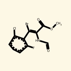 COC(=O)C(NC=O)=C(Br)c1c(F)cccc1Cl